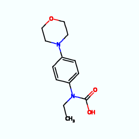 CCN(C(=O)O)c1ccc(N2CCOCC2)cc1